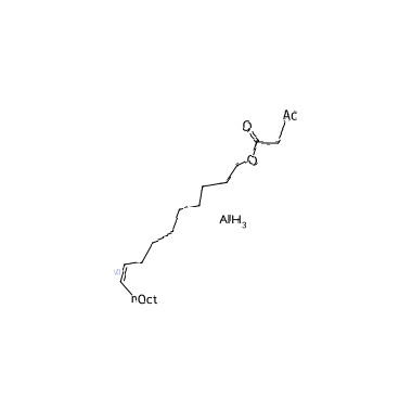 CCCCCCCC/C=C\CCCCCCCCOC(=O)CC(C)=O.[AlH3]